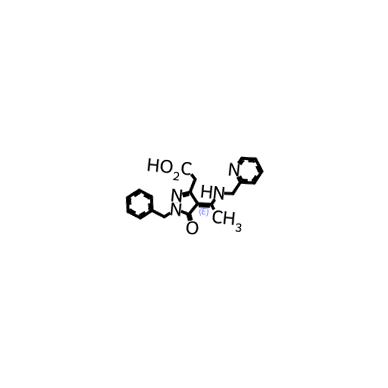 C/C(NCc1ccccn1)=C1\C(=O)N(Cc2ccccc2)N=C1CC(=O)O